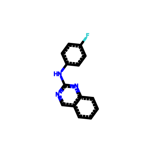 Fc1ccc(Nc2ncc3ccccc3n2)cc1